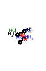 CCN(CC)Cc1ccc(C=Cc2cc(C)ccc2C(=O)NC(Cc2ccccc2)C(=O)C(N)=O)cc1.Cl